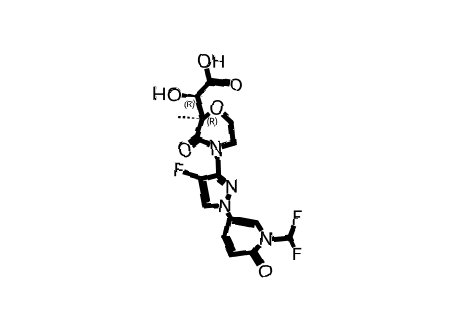 C[C@]1([C@@H](O)C(=O)O)OCCN(c2nn(-c3ccc(=O)n(C(F)F)c3)cc2F)C1=O